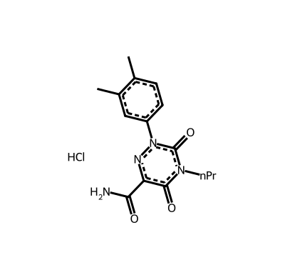 CCCn1c(=O)c(C(N)=O)nn(-c2ccc(C)c(C)c2)c1=O.Cl